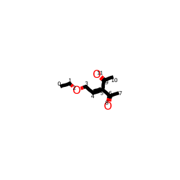 CCOCC=C(C(C)=O)C(C)=O